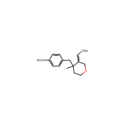 COC=C1COCCC1(C)Cc1ccc(OC)cc1